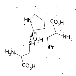 CC(C)CC(N)C(=O)O.NC(CS)C(=O)O.O=C(O)[C@@H]1CCCN1